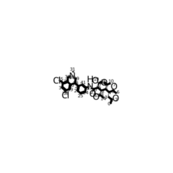 CC(=O)C[C@@H](C(C)=O)[C@@H](C(C)=O)[C@H](C(C)=O)[C@H](C(C)=O)C(=O)Nc1cccc(C2CN(C)Cc3c(Cl)cc(Cl)cc32)c1